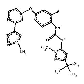 Cn1cc(-c2cc(Oc3ccc(NC(=O)Nc4cc(C(C)(C)C)nn4C)c(F)c3)ccn2)nn1